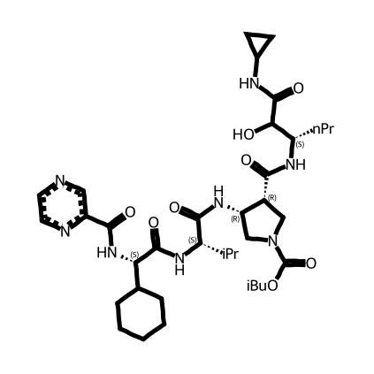 CCC[C@H](NC(=O)[C@@H]1CN(C(=O)OCC(C)C)C[C@@H]1NC(=O)[C@@H](NC(=O)[C@@H](NC(=O)c1cnccn1)C1CCCCC1)C(C)C)C(O)C(=O)NC1CC1